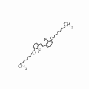 CCCCCCCCOc1cccc(C=Cc2cccc(OCCCCCCCC)c2F)c1F